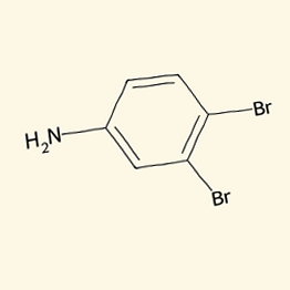 Nc1ccc(Br)c(Br)c1